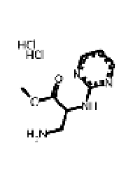 COC(=O)C(CN)Nc1ncccn1.Cl.Cl